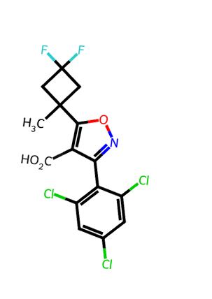 CC1(c2onc(-c3c(Cl)cc(Cl)cc3Cl)c2C(=O)O)CC(F)(F)C1